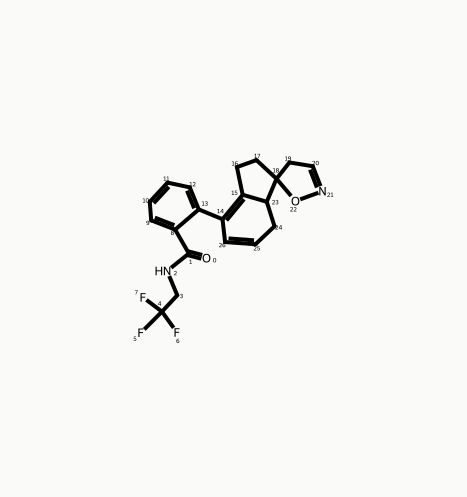 O=C(NCC(F)(F)F)c1ccccc1C1=C2CCC3(CC=NO3)C2CC=C1